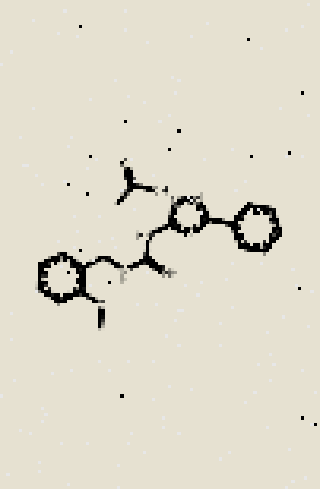 CC(=O)O.COc1ccccc1CNC(=N)Nc1nnc(-c2ccccc2)s1